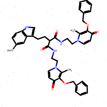 COc1ccc2[nH]cc(CCC(C(=O)NCCn3ccc(=O)c(OCc4ccccc4)c3C)C(=O)NCCn3ccc(=O)c(OCc4ccccc4)c3C)c2c1